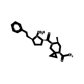 C[C@H]1CN(C(=O)C(F)(F)F)C2(CC2)CN1C(=O)[C@@H]1CC[C@@H](CCc2ccccc2)N1C(=O)O